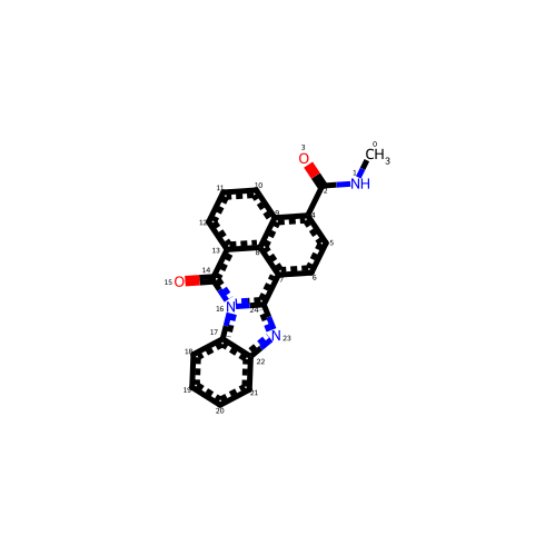 CNC(=O)c1ccc2c3c1cccc3c(=O)n1c3ccccc3nc21